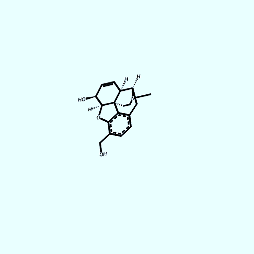 CN1CC[C@]23c4c5ccc(CO)c4O[C@H]2[C@@H](O)C=C[C@H]3[C@H]1C5